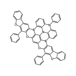 c1ccc(-c2c3c(cc4c2oc2ccccc24)B2c4cccc5c4N4c6c(cccc6N5c5ccccc5)B5c6cc7c(oc8ccccc87)c(-c7ccccc7)c6Oc6cc(c2c4c65)O3)cc1